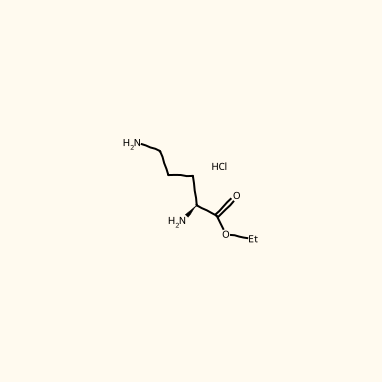 CCOC(=O)[C@@H](N)CCCN.Cl